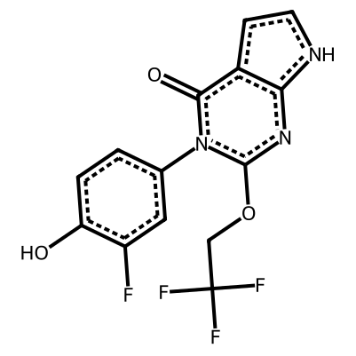 O=c1c2cc[nH]c2nc(OCC(F)(F)F)n1-c1ccc(O)c(F)c1